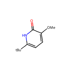 COc1ccc(C(C)(C)C)[nH]c1=O